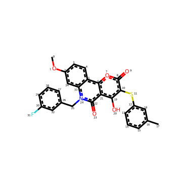 COc1ccc2c3oc(=O)c(Sc4cccc(C)c4)c(O)c3c(=O)n(Cc3cccc(F)c3)c2c1